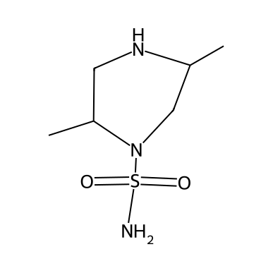 CC1CN(S(N)(=O)=O)C(C)CN1